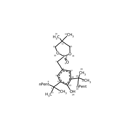 CCCCCC(C)(C)c1cc(CP2(=O)OCC(C)(C)CO2)cc(C(C)(C)CCCCC)c1O